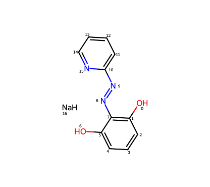 Oc1cccc(O)c1N=Nc1ccccn1.[NaH]